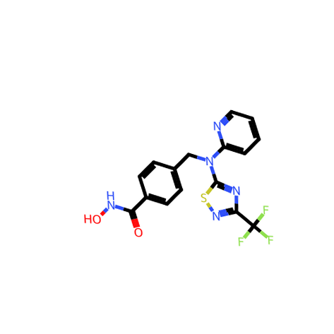 O=C(NO)c1ccc(CN(c2ccccn2)c2nc(C(F)(F)F)ns2)cc1